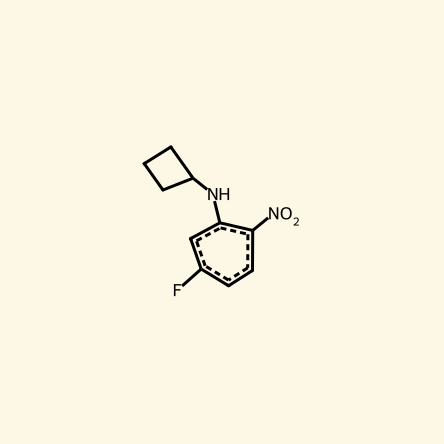 O=[N+]([O-])c1ccc(F)cc1NC1CCC1